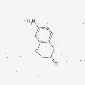 Nc1ccc2c(c1)OCC(=O)C2